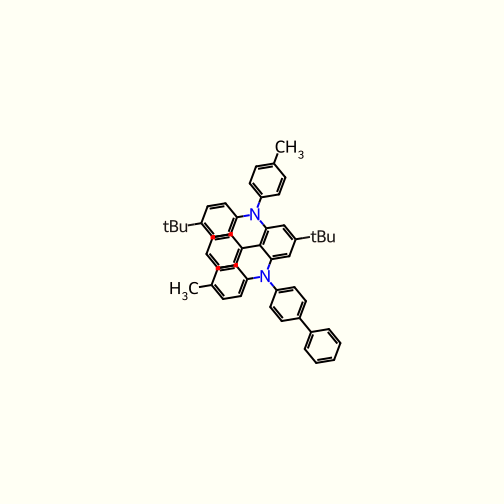 Cc1ccc(N(c2ccc(-c3ccccc3)cc2)c2cc(C(C)(C)C)cc(N(c3ccc(C)cc3)c3ccc(C(C)(C)C)cc3)c2-c2ccccc2)cc1